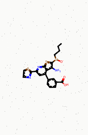 CCCC[S+]([O-])c1sc2nc(-c3nccs3)cc(-c3cccc(C(=O)O)c3)c2c1N